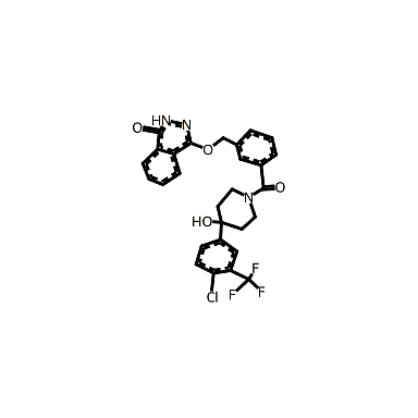 O=C(c1cccc(COc2n[nH]c(=O)c3ccccc23)c1)N1CCC(O)(c2ccc(Cl)c(C(F)(F)F)c2)CC1